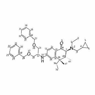 CCN(CC1CC1)[C@@H]1C(=O)c2ccc(NC(COCc3ccccc3)COCc3ccccc3)cc2[C@@](C)(CC)[C@H]1C